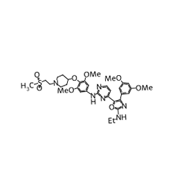 CCNc1nc(-c2cc(OC)cc(OC)c2)c(-c2ccnc(Nc3cc(OC)c(OC4CCN(CCS(C)(=O)=O)CC4)c(OC)c3)n2)o1